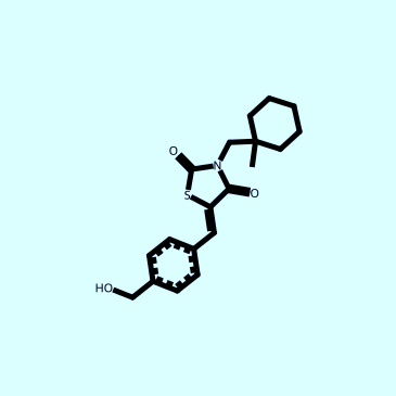 CC1(CN2C(=O)S/C(=C\c3ccc(CO)cc3)C2=O)CCCCC1